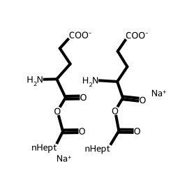 CCCCCCCC(=O)OC(=O)C(N)CCC(=O)[O-].CCCCCCCC(=O)OC(=O)C(N)CCC(=O)[O-].[Na+].[Na+]